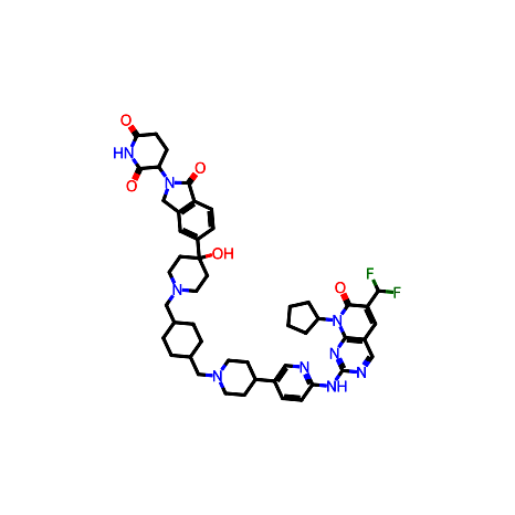 O=C1CCC(N2Cc3cc(C4(O)CCN(CC5CCC(CN6CCC(c7ccc(Nc8ncc9cc(C(F)F)c(=O)n(C%10CCCC%10)c9n8)nc7)CC6)CC5)CC4)ccc3C2=O)C(=O)N1